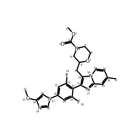 COC(=O)N1CCOC(Cc2c(-c3c(F)cc(-n4cnc(OC)c4)cc3F)nc3cc(C)ccn23)C1